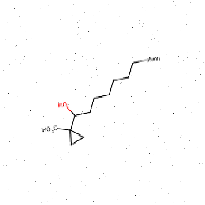 CCCCCCCCCCCCCCCC(O)C1(C(=O)O)CC1